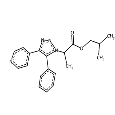 CC(C)COC(=O)C(C)n1nnc(-c2ccncc2)c1-c1ccccc1